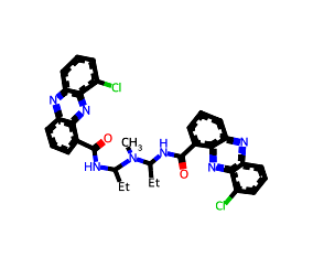 CCC(NC(=O)c1cccc2nc3cccc(Cl)c3nc12)N(C)C(CC)NC(=O)c1cccc2nc3cccc(Cl)c3nc12